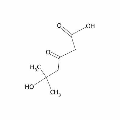 CC(C)(O)CC(=O)CC(=O)O